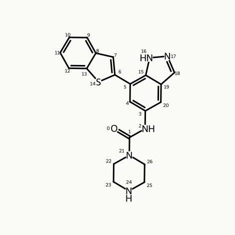 O=C(Nc1cc(-c2cc3ccccc3s2)c2[nH]ncc2c1)N1CCNCC1